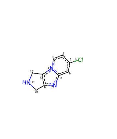 Clc1ccn2c3c(nc2c1)CNC3